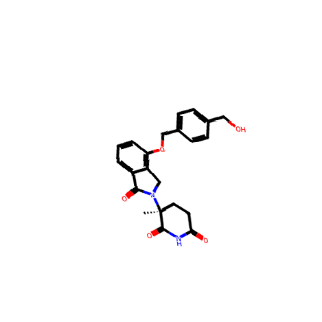 C[C@]1(N2Cc3c(OCc4ccc(CO)cc4)cccc3C2=O)CCC(=O)NC1=O